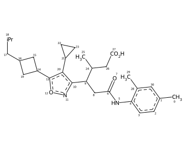 Cc1ccc(NC(=O)CC(c2noc(C3CC(CC(C)C)C3)c2C2CC2)C(C)CC(=O)O)c(C)c1